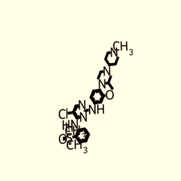 CN1CCC(N2CCN3c4ccc(Nc5ncc(Cl)c(Nc6ccccc6[SH](C)(C)=O)n5)cc4OCC3C2)CC1